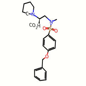 CN(C[C@@H](C(=O)O)N1CCCCC1)S(=O)(=O)c1ccc(OCc2ccccc2)cc1